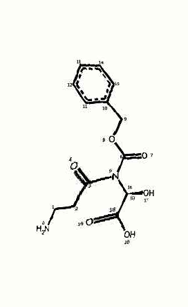 NCCC(=O)N(C(=O)OCc1ccccc1)[C@@H](O)C(=O)O